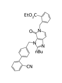 CCCCc1nc2ccn(Cc3ccccc3C(=O)OCC)c(=O)c2n1Cc1ccc(-c2ccccc2C#N)cc1